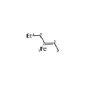 CC=CCCC.[Fe]